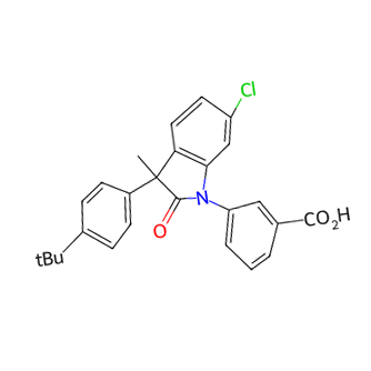 CC(C)(C)c1ccc(C2(C)C(=O)N(c3cccc(C(=O)O)c3)c3cc(Cl)ccc32)cc1